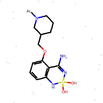 CC(=O)N1CCCC(COc2cccc3c2C(N)=NS(O)(O)N3)C1